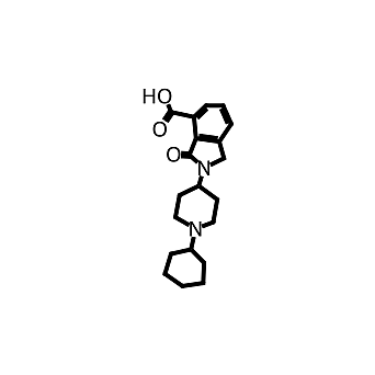 O=C(O)c1cccc2c1C(=O)N(C1CCN(C3CCCCC3)CC1)C2